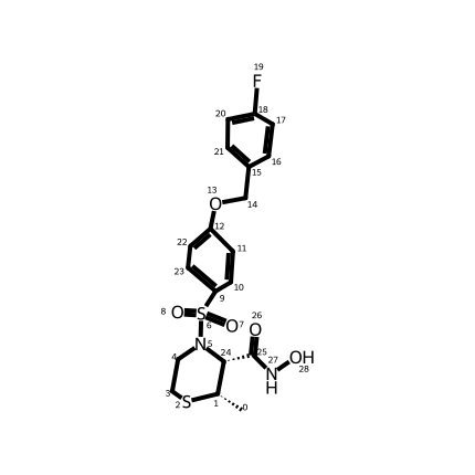 C[C@@H]1SCCN(S(=O)(=O)c2ccc(OCc3ccc(F)cc3)cc2)[C@@H]1C(=O)NO